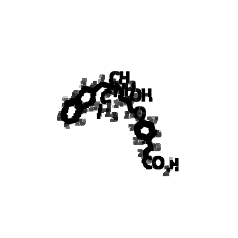 CC(C)(CC1Cc2ccccc2C1)NC[C@H](O)COc1ccc(CCC(=O)O)cc1